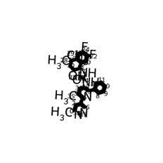 Cc1cc(-c2nc(-c3ccccc3)c(NC(=O)NC3c4cc(F)c(F)cc4C(C)(C)C[C@H]3O)cc2C)cnn1